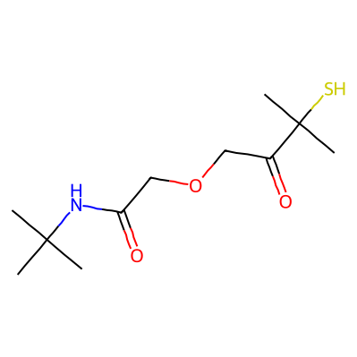 CC(C)(C)NC(=O)COCC(=O)C(C)(C)S